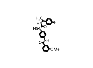 COc1cccc(C(=O)Nc2ccc(N(S)C(=O)NC(C)c3ccc(F)cc3)cc2)c1